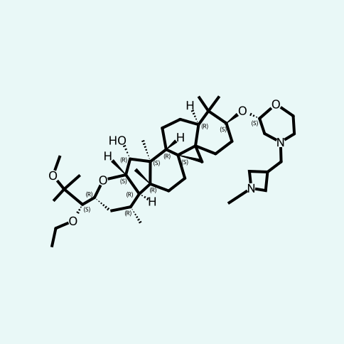 CCO[C@@H]([C@H]1C[C@@H](C)[C@H]2[C@H](O1)[C@H](O)[C@@]1(C)[C@@H]3CC[C@H]4C(C)(C)[C@@H](O[C@H]5CN(CC6CN(C)C6)CCO5)CCC45C[C@@]35CC[C@]21C)C(C)(C)OC